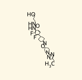 CCc1cnc(N2CCC(ON=C3CCC(c4ccc(NC(=O)NCCCO)c(F)c4F)CC3)CC2)nc1